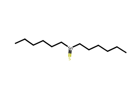 CCCCC[CH2][Sn](=[S])[CH2]CCCCC